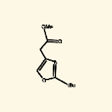 COC(=O)Cc1coc(C(C)(C)C)n1